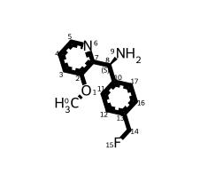 COc1cccnc1[C@@H](N)c1ccc(CF)cc1